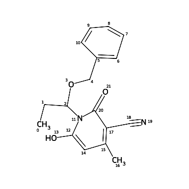 CCC(OCc1ccccc1)n1c(O)cc(C)c(C#N)c1=O